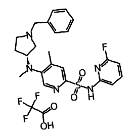 Cc1cc(S(=O)(=O)Nc2cccc(F)n2)ncc1N(C)[C@H]1CCN(Cc2ccccc2)C1.O=C(O)C(F)(F)F